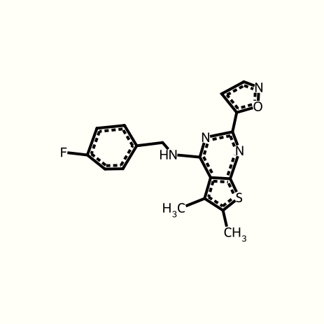 Cc1sc2nc(-c3ccno3)nc(NCc3ccc(F)cc3)c2c1C